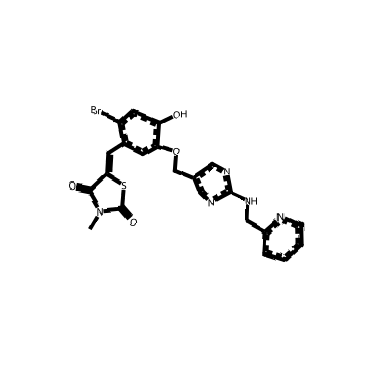 CN1C(=O)S/C(=C\c2cc(OCc3cnc(NCc4ccccn4)nc3)c(O)cc2Br)C1=O